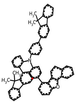 CC1(C)c2ccccc2-c2ccc(-c3ccc(N(c4ccc(-c5cccc6oc7c8ccccc8ccc7c56)cc4)c4ccccc4-c4cccc5c4C(C)(C)c4ccccc4-5)cc3)cc21